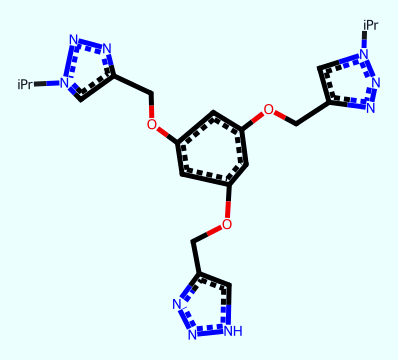 CC(C)n1cc(COc2cc(OCc3c[nH]nn3)cc(OCc3cn(C(C)C)nn3)c2)nn1